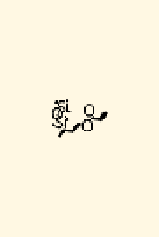 C=CC(=O)OCCC(C)[Si](C)(C)O[Si](C)(C)C